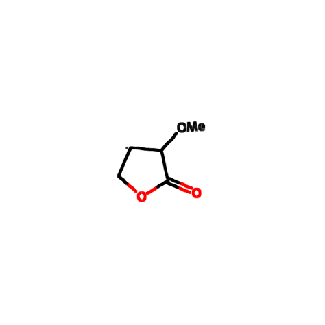 COC1[CH]COC1=O